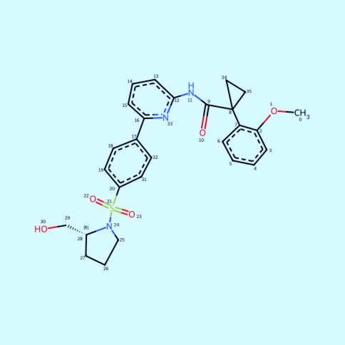 COc1ccccc1C1(C(=O)Nc2cccc(-c3ccc(S(=O)(=O)N4CCC[C@@H]4CO)cc3)n2)CC1